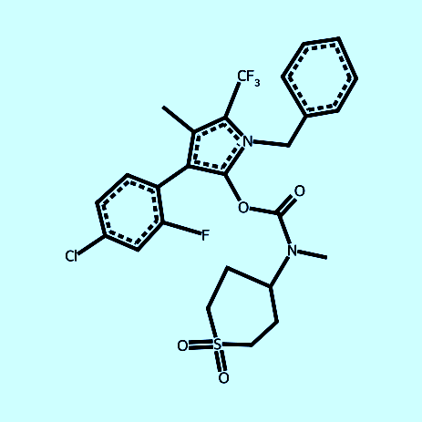 Cc1c(-c2ccc(Cl)cc2F)c(OC(=O)N(C)C2CCS(=O)(=O)CC2)n(Cc2ccccc2)c1C(F)(F)F